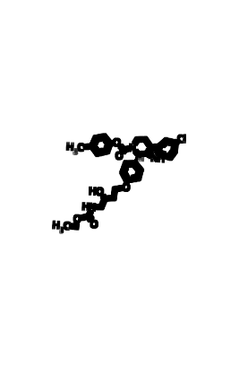 CCOC(=O)NCC(O)CCOc1ccc([C@H]2c3[nH]c4ccc(Cl)cc4c3CCN2C(=O)Oc2ccc(C)cc2)cc1